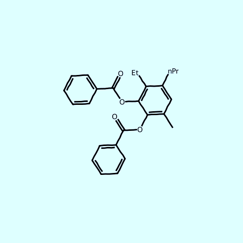 CCCc1cc(C)c(OC(=O)c2ccccc2)c(OC(=O)c2ccccc2)c1CC